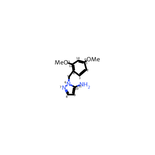 COc1ccc(Cn2nccc2N)c(OC)c1